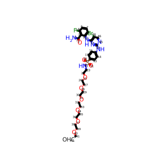 NC(=O)c1c(F)cccc1Nc1nc(Nc2ccc(S(=O)(=O)NCCOCCOCCOCCOCCOCCOCC=O)cc2)ncc1Br